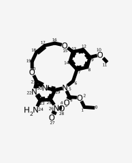 CCOC(=O)N1Cc2cc(OC)cc(c2)OC/C=C\COc2nc(N)c([N+](=O)[O-])c1n2